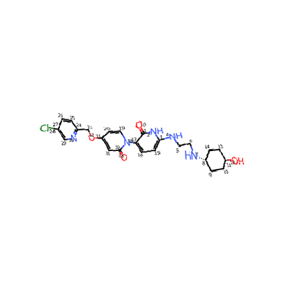 O=c1[nH]c(NCCN[C@H]2CC[C@H](O)CC2)ccc1-n1ccc(OCc2ccc(Cl)cn2)cc1=O